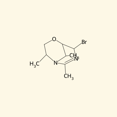 CC1=NC(Br)C2OCC(C)N1C2C